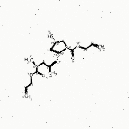 C=CCOC(=O)N(C)CC(C)=C[C@@H]1C[C@H](S)CN1C(=O)OCC=C